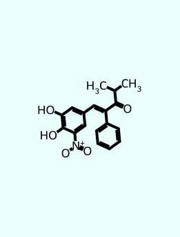 CC(C)C(=O)/C(=C/c1cc(O)c(O)c([N+](=O)[O-])c1)c1ccccc1